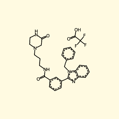 O=C(O)C(F)(F)F.O=C1CN(CCCNC(=O)c2cccc(-c3nc4ccccc4n3Cc3ccccc3)c2)CCN1